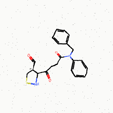 O=C[C@@H]1CSNC1C(=O)CCC(=O)N(Cc1ccccc1)c1ccccc1